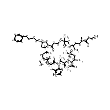 CC(C)C[C@H](NC(=O)[C@@H]1C[C@@H](OCCCCc2ccccc2)CN1C(=O)CCOC(C)(C)COC(C)CCNC(=O)CCS)C(=O)N[C@@H](Cc1cnc[nH]1)C(=O)N[C@@H](C)C(=O)N[C@H](C(N)=O)[C@@H](C)OP(=O)(O)O